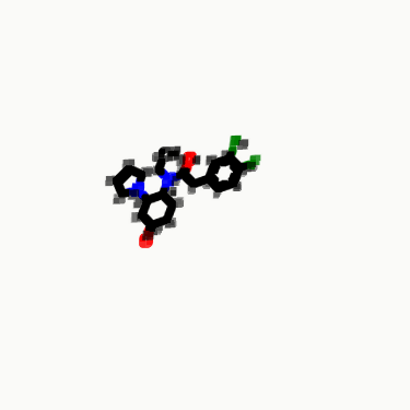 CCN(C(=O)Cc1ccc(F)c(F)c1)C1CCC(=O)CC1N1CC=CC1